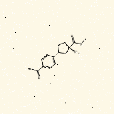 COC(=O)[C@@]1(N)CC[C@@H](c2ccc(C(=O)O)cc2)C1